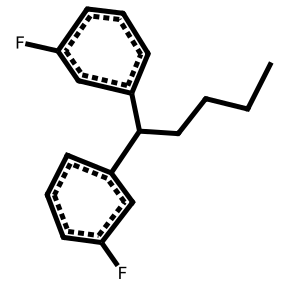 CCCCC(c1cccc(F)c1)c1cccc(F)c1